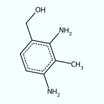 Cc1c(N)ccc(CO)c1N